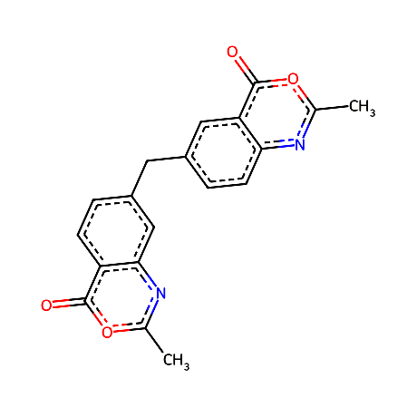 Cc1nc2cc(Cc3ccc4nc(C)oc(=O)c4c3)ccc2c(=O)o1